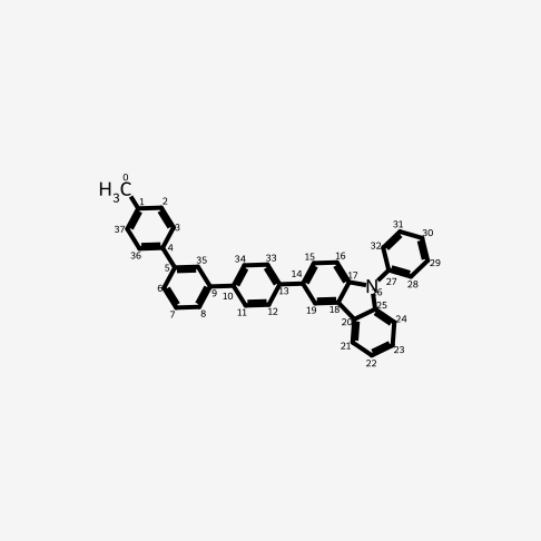 Cc1ccc(-c2cccc(-c3ccc(-c4ccc5c(c4)c4ccccc4n5-c4ccccc4)cc3)c2)cc1